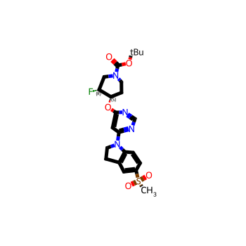 CC(C)(C)OC(=O)N1CC[C@H](Oc2cc(N3CCc4cc(S(C)(=O)=O)ccc43)ncn2)[C@H](F)C1